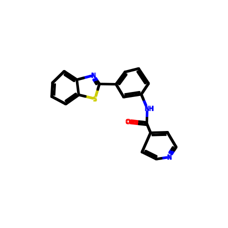 O=C(Nc1cccc(-c2nc3ccccc3s2)c1)c1ccncc1